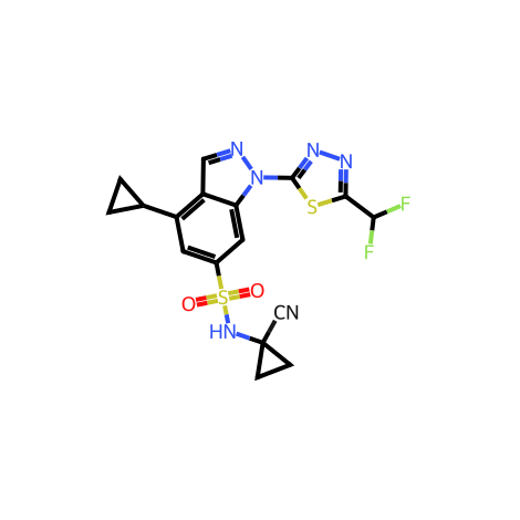 N#CC1(NS(=O)(=O)c2cc(C3CC3)c3cnn(-c4nnc(C(F)F)s4)c3c2)CC1